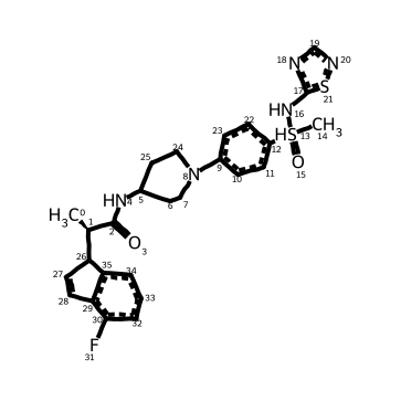 C[C@@H](C(=O)NC1CCN(c2ccc([SH](C)(=O)Nc3ncns3)cc2)CC1)C1C=Cc2c(F)cccc21